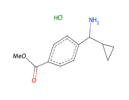 COC(=O)c1ccc(C(N)C2CC2)cc1.Cl